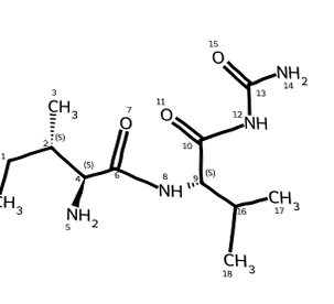 CC[C@H](C)[C@H](N)C(=O)N[C@H](C(=O)NC(N)=O)C(C)C